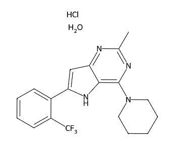 Cc1nc(N2CCCCC2)c2[nH]c(-c3ccccc3C(F)(F)F)cc2n1.Cl.O